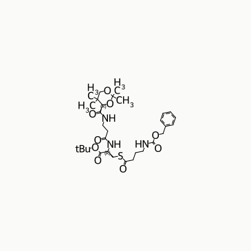 CC(C)(C)OC(=O)[C@H](CSC(=O)CCCNC(=O)OCc1ccccc1)NC(=O)CCNC(=O)[C@@H]1OC(C)(C)OCC1(C)C